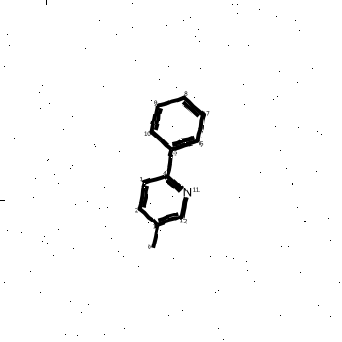 Cc1ccc(-c2c[c]ccc2)nc1